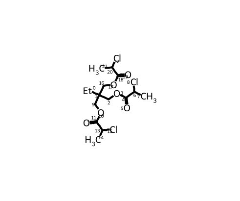 CCC(COC(=O)C(C)Cl)(COC(=O)C(C)Cl)COC(=O)C(C)Cl